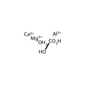 O.O=C(O)O.[Al+3].[Ca+2].[Mg+2]